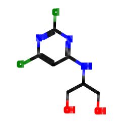 OCC(CO)Nc1cc(Cl)nc(Cl)n1